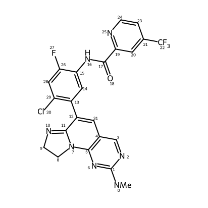 CNc1ncc2c(n1)N1CCN=C1C(c1cc(NC(=O)c3cc(C(F)(F)F)ccn3)c(F)cc1Cl)=C2